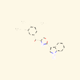 COc1cc(C(=O)c2coc(-c3c[nH]c4ccccc34)n2)cc(OC)c1OC